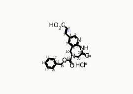 Cl.O=C(O)/C=C/c1cnc2c(c1)CN(C(=O)OCc1ccccc1)CC(=O)N2